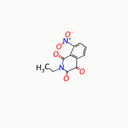 CCN1C(=O)C(=O)c2cccc([N+](=O)[O-])c2C1=O